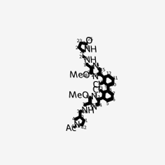 COc1nc(-c2cccc(-c3cccc(-c4cnc(CNC[C@@H]5CCC(=O)N5)c(OC)n4)c3Cl)c2Cl)cnc1CNCC1CCN(C(C)=O)C1